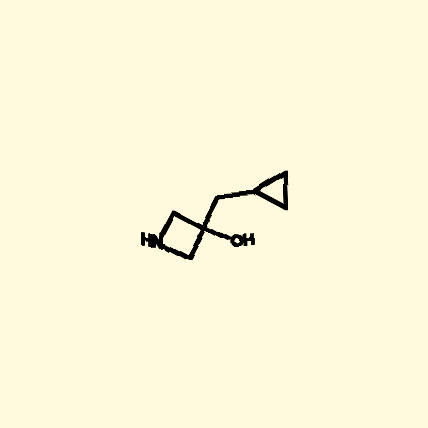 OC1(CC2CC2)CNC1